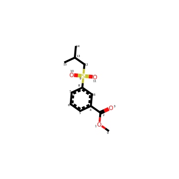 COC(=O)c1cccc(S(=O)(=O)CC(C)C)c1